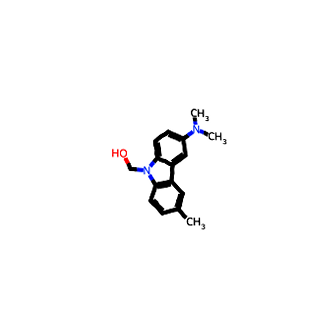 Cc1ccc2c(c1)c1cc(N(C)C)ccc1n2CO